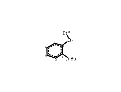 CCCCc1ccc[c]c1OCC